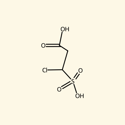 O=C(O)CC(Cl)S(=O)(=O)O